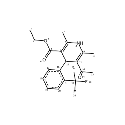 CCOC(=O)C1=C(C)NC(C)=C(C(C)=O)C1c1ccccc1C(F)(F)F